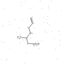 C=CCOC(CC(=O)O)C(F)(F)F